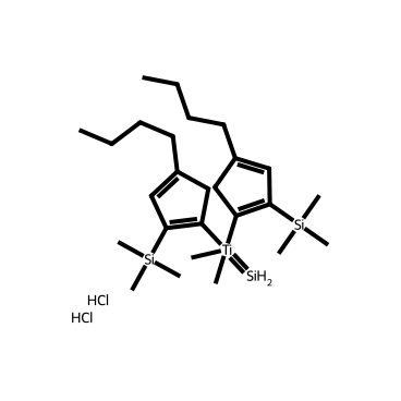 CCCCC1=CC([Si](C)(C)C)=[C]([Ti]([CH3])([CH3])(=[SiH2])[C]2=C([Si](C)(C)C)C=C(CCCC)C2)C1.Cl.Cl